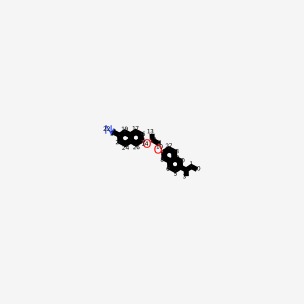 CCC(C)c1ccc2cc(OCC(C)Oc3ccc4cc(C#N)ccc4c3)ccc2c1